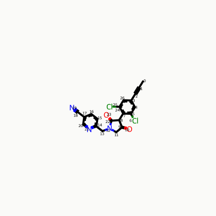 CC#Cc1cc(Cl)c(C2C(=O)CN(Cc3ccc(C#N)cn3)C2=O)c(Cl)c1